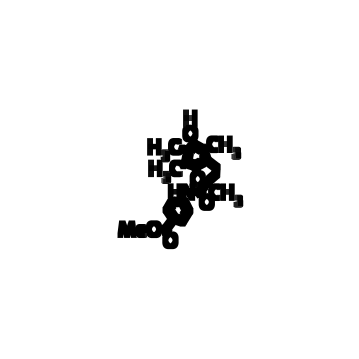 COC(=O)c1ccc(NC(=O)C2(C)CCc3c(C)c(O)c(C)c(C)c3O2)cc1